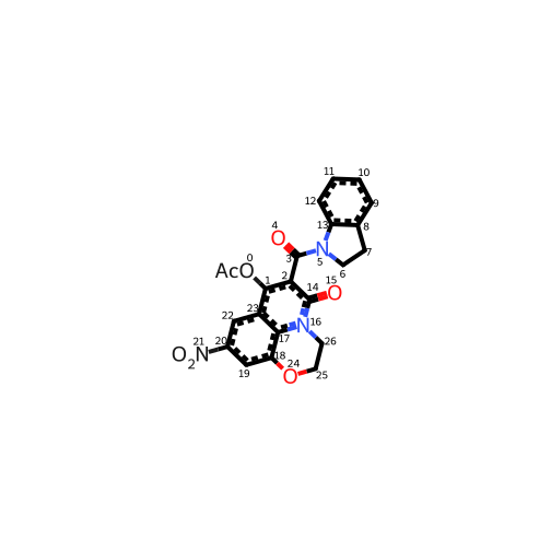 CC(=O)Oc1c(C(=O)N2CCc3ccccc32)c(=O)n2c3c(cc([N+](=O)[O-])cc13)OCC2